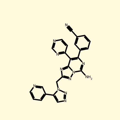 N#Cc1cccc(-c2nc(N)n3nc(Cn4nncc4-c4cccnc4)nc3c2-c2ccncn2)c1